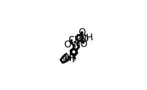 O=CC(=O)C1c2cc(N3CC4CCC(C3)N4)c(F)cc2CN1C1CCC(=O)NC1=O